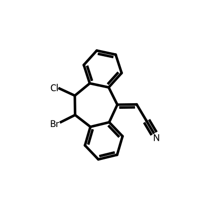 N#CC=C1c2ccccc2C(Cl)C(Br)c2ccccc21